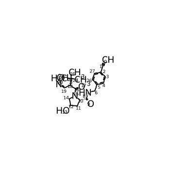 C#Cc1ccc(CNC(=O)[C@@H]2C[C@@H](O)CN2C(=O)C(/C=N\C)C(C)(C)C)cc1